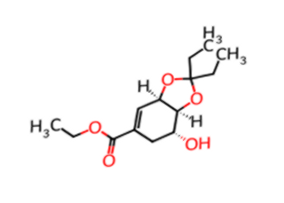 CCOC(=O)C1=C[C@H]2OC(CC)(CC)O[C@H]2[C@H](O)C1